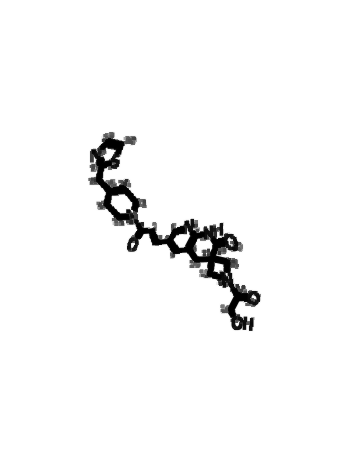 O=C(/C=C/c1cnc2c(c1)CC1(CN(C(=O)CO)C1)C(=O)N2)N1CC=C(Cc2nccs2)CC1